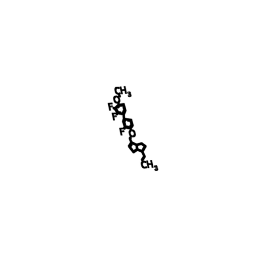 CCCC1CCC2C(COc3ccc(-c4ccc(OCC)c(F)c4F)cc3F)=CCC12